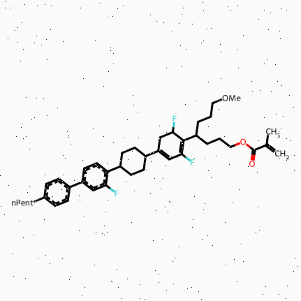 C=C(C)C(=O)OCCCC(CCCOC)C1=C(F)C=C(C2CCC(c3ccc(-c4ccc(CCCCC)cc4)cc3F)CC2)CC1F